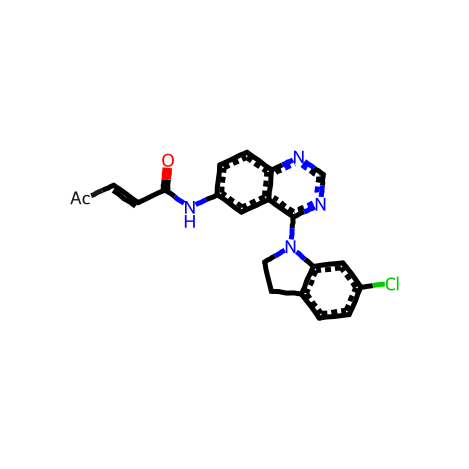 CC(=O)C=CC(=O)Nc1ccc2ncnc(N3CCc4ccc(Cl)cc43)c2c1